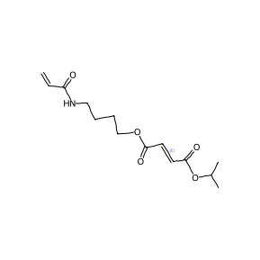 C=CC(=O)NCCCCOC(=O)/C=C/C(=O)OC(C)C